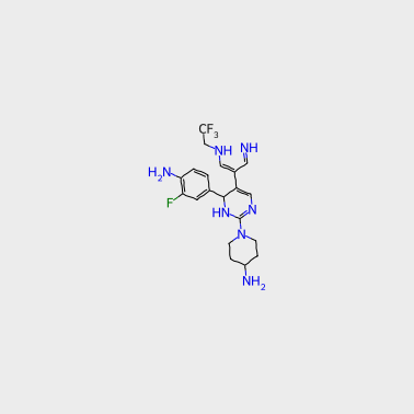 N=C/C(=C\NCC(F)(F)F)C1=CN=C(N2CCC(N)CC2)NC1c1ccc(N)c(F)c1